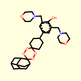 Oc1c(CN2CCOCC2)cc(C2CCC3(CC2)OOC2(OO3)C3CC4CC(C3)CC2C4)cc1CN1CCOCC1